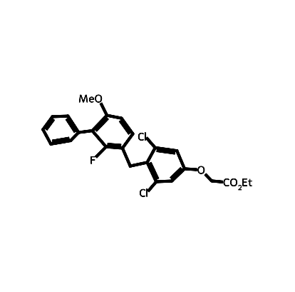 CCOC(=O)COc1cc(Cl)c(Cc2ccc(OC)c(-c3ccccc3)c2F)c(Cl)c1